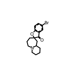 O=C1c2cc(Br)ccc2OC12CCCN1CCCCC1C2